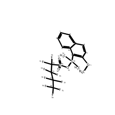 COc1ccc2ccccc2c1S(C)(C)OS(=O)(=O)C(F)(F)C(F)(F)C(F)(F)C(F)(F)F